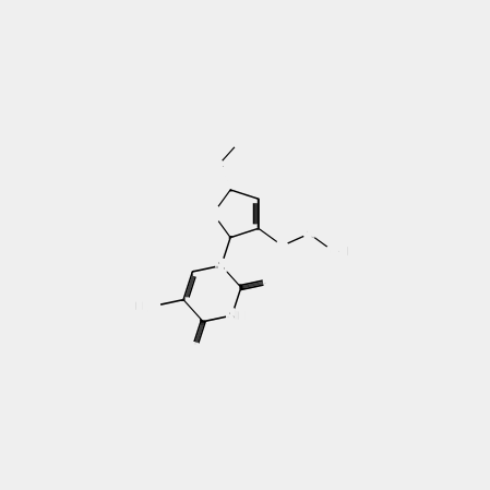 Cc1cn(C2O[C@H](CO)C=C2SSC(Cl)(Cl)Cl)c(=O)[nH]c1=O